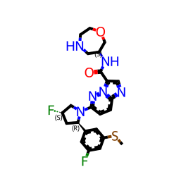 CSc1cc(F)cc([C@H]2C[C@H](F)CN2c2ccc3ncc(C(=O)N[C@H]4CNCCOC4)n3n2)c1